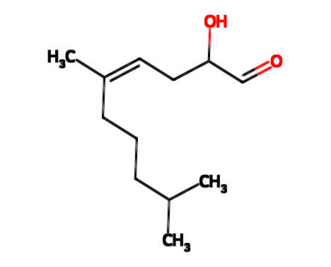 CC(=CCC(O)C=O)CCCC(C)C